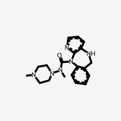 CN1CCN(N(C)C(=O)N2c3ccccc3CNc3cccnc32)CC1